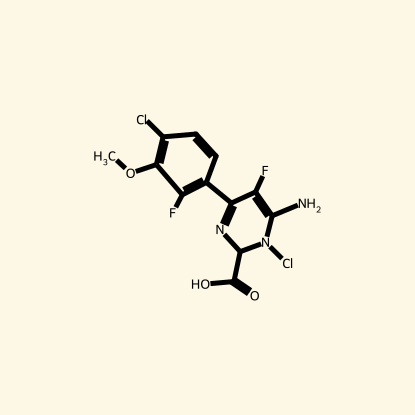 COc1c(Cl)ccc(C2=NC(C(=O)O)N(Cl)C(N)=C2F)c1F